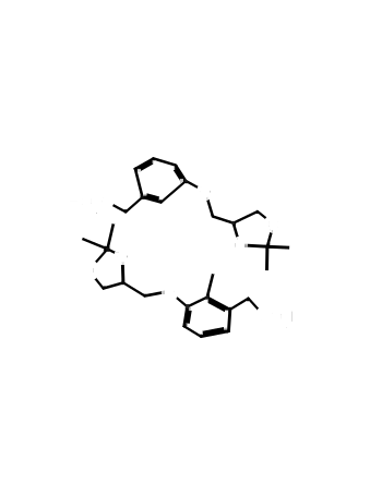 CC1(C)OCC(COc2cccc(CC(=O)O)c2)O1.Cc1c(CC(=O)O)cccc1OCC1COC(C)(C)O1